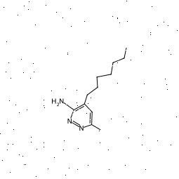 CCCCCCCc1cc(C)nnc1N